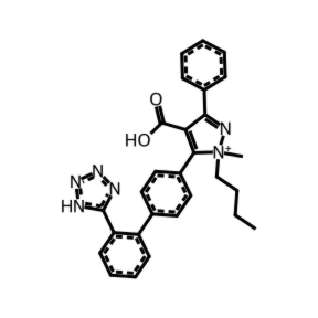 CCCC[N+]1(C)N=C(c2ccccc2)C(C(=O)O)=C1c1ccc(-c2ccccc2-c2nnn[nH]2)cc1